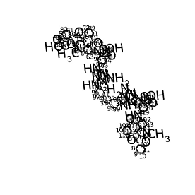 Cn1c(=O)c(C(=O)c2ccccc2)c2c3c(c(Nc4ccc(S(=O)(=O)O)c(Nc5nc(N)nc(NC6CCC(CC7CCC(Nc8nc(N)nc(Nc9ccc(S(=O)(=O)O)c(Nc%10ccc%11c%12c%10C(=O)c%10ccccc%10-c%12c(C(=O)c%10cccc(S(=O)(=O)O)c%10)c(=O)n%11C)c9)n8)CC7)CC6)n5)c4)ccc31)C(=O)c1ccccc1-2